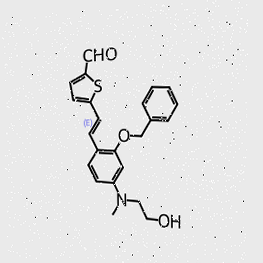 CN(CCO)c1ccc(/C=C/c2ccc(C=O)s2)c(OCc2ccccc2)c1